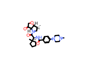 C[C@@H]1CN(C(=O)[C@@H](NC(=O)c2ccc(N3CCN(C)CC3)cc2)C2(C)CCCC2)[C@@H]2C(=O)CO[C@H]12